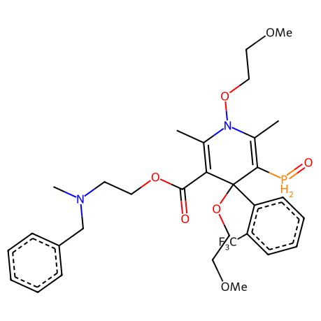 COCCON1C(C)=C([PH2]=O)C(OCCOC)(c2ccccc2C(F)(F)F)C(C(=O)OCCN(C)Cc2ccccc2)=C1C